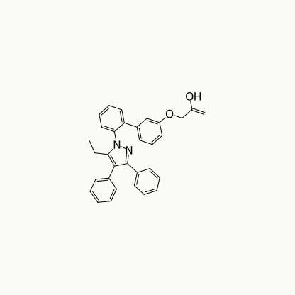 C=C(O)COc1cccc(-c2ccccc2-n2nc(-c3ccccc3)c(-c3ccccc3)c2CC)c1